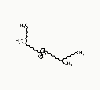 CCCCCCCCC(CC)CCCCCCCCC1(OC2(CCCCCCCCC(CC)CCCCCCCC)CCO2)CCO1